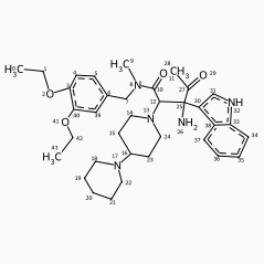 CCOc1ccc(CN(C)C(=O)C(N2CCC(N3CCCCC3)CC2)C(N)(C(C)=O)c2c[nH]c3ccccc23)cc1OCC